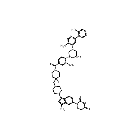 Cc1cc(C(=O)N2CCC(F)(CN3CCC(n4cc(C)c5cc(N6CCC(=O)NC6=O)ccc54)CC3)CC2)ccc1[C@H]1C[C@@H](F)CN(c2cc(-c3ccccc3O)nnc2N)C1